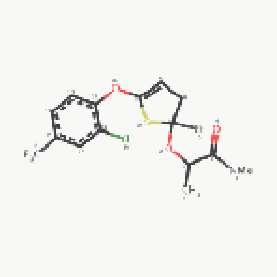 CCC1(OC(C)C(=O)NC)CC=C(Oc2ccc(C(F)(F)F)cc2Cl)S1